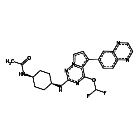 CC(=O)N[C@H]1CC[C@@H](Nc2nc(OC(F)F)c3c(-c4ccc5nccnc5c4)ccn3n2)CC1